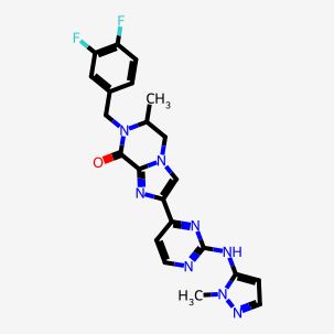 CC1Cn2cc(-c3ccnc(Nc4ccnn4C)n3)nc2C(=O)N1Cc1ccc(F)c(F)c1